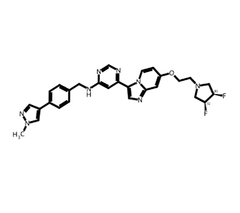 Cn1cc(-c2ccc(CNc3cc(-c4cnc5cc(OCCN6C[C@@H](F)[C@@H](F)C6)ccn45)ncn3)cc2)cn1